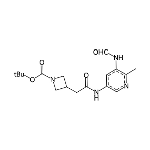 Cc1ncc(NC(=O)CC2CN(C(=O)OC(C)(C)C)C2)cc1NC=O